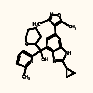 Cc1cccc(C(O)(c2cc(-c3c(C)noc3C)cc3[nH]c(C4CC4)nc23)C2CCCCO2)n1